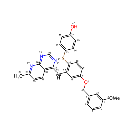 COc1cccc(COc2ccc(Sc3ccc(O)cc3)c([AsH]c3ncnc4nc(C)ccc34)c2)c1